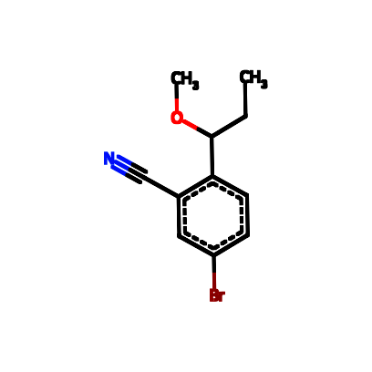 CCC(OC)c1ccc(Br)cc1C#N